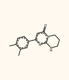 Cc1ccc(-c2cc(=O)n3c(n2)NCCC3)cc1C